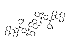 c1cncc(-n2c3cc4c(cc3c3c5cccc6c7cccc8cccc(c(cc32)c65)c87)oc2ccccc2n4-c2ccc3ccc4c(-n5c6ccccc6oc6cc7c8c9cccc%10c%11cccc%12cccc(c(cc8n(-c8cccnc8)c7cc65)c%109)c%12%11)ccc5ccc2c3c54)c1